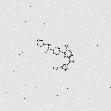 Cc1cnc(Nc2cnn(C)c2)nc1-c1ccc(C(=O)NC2CCOC2)cc1